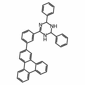 c1ccc(C2N=C(c3cccc(-c4ccc5c6ccccc6c6ccccc6c5c4)c3)NC(c3ccccc3)N2)cc1